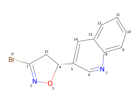 BrC1=NO[C@@H](c2cnc3ccccc3c2)C1